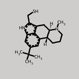 CN1CCC[C@@H]2c3cc(C(C)(C)C)cc4[nH]c(CS)c(c34)C[C@H]21